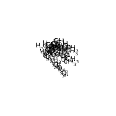 CC(C)(C)C(=O)OC[C@H]1O[C@@H](Oc2n[nH]c3nccc(CCc4ccc(OCc5ccccc5)cc4)c23)[C@H](OC(=O)C(C)(C)C)[C@@H](OC(=O)C(C)(C)C)[C@@H]1OC(=O)C(C)(C)C